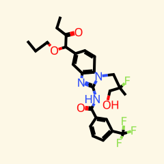 CCCOC(C(=O)CC)c1ccc2c(c1)nc(NC(=O)c1cccc(C(F)(F)F)c1)n2CC(C)(F)CO